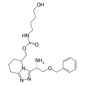 N[C@H](COCc1ccccc1)c1nnc2n1C(COC(=O)NCCCCO)CCC2